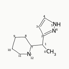 CC(c1cc[nH]n1)C1CCCC[N]1